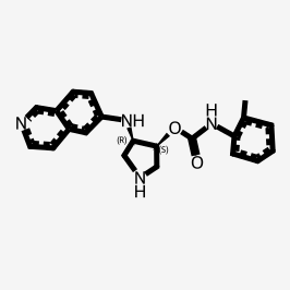 Cc1ccccc1NC(=O)O[C@H]1CNC[C@H]1Nc1ccc2cnccc2c1